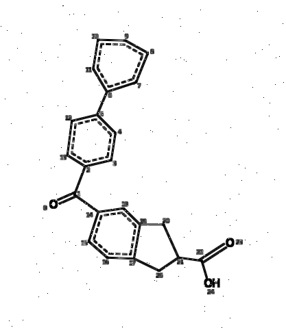 O=C(c1ccc(-c2ccccc2)cc1)c1ccc2c(c1)CC(C(=O)O)C2